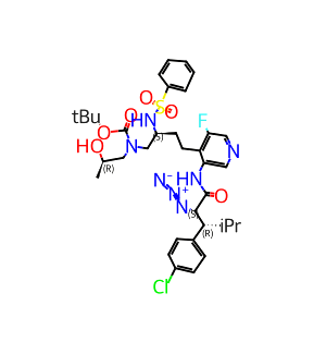 CC(C)[C@H](c1ccc(Cl)cc1)[C@H](N=[N+]=[N-])C(=O)Nc1cncc(F)c1CC[C@@H](CN(C[C@@H](C)O)C(=O)OC(C)(C)C)NS(=O)(=O)c1ccccc1